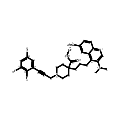 COc1ccc2ncc(N(C)C)c(CCCC3(C(=O)NO)CCN(CC#Cc4cc(F)cc(F)c4F)CC3)c2c1